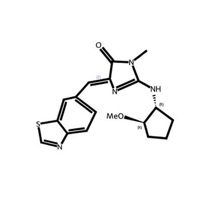 CO[C@@H]1CCC[C@H]1NC1=N/C(=C\c2ccc3ncsc3c2)C(=O)N1C